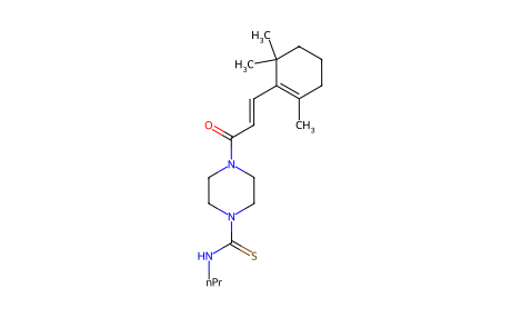 CCCNC(=S)N1CCN(C(=O)C=CC2=C(C)CCCC2(C)C)CC1